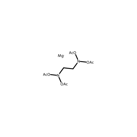 CC(=O)ON(CCN(OC(C)=O)OC(C)=O)OC(C)=O.[Mg]